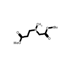 COC(=O)CCN(C)CC(=O)OC(C)(C)C